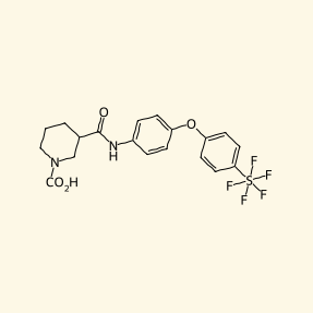 O=C(Nc1ccc(Oc2ccc(S(F)(F)(F)(F)F)cc2)cc1)C1CCCN(C(=O)O)C1